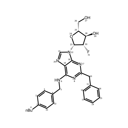 CCCCc1ccc(CNc2nc(Cc3ccccc3)nc3c2ncn3[C@@H]2O[C@H](CO)[C@@H](O)[C@@H]2F)cc1